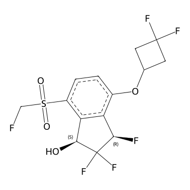 O=S(=O)(CF)c1ccc(OC2CC(F)(F)C2)c2c1[C@H](O)C(F)(F)[C@@H]2F